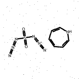 C1=CC=CNC=C1.[N-]=[N+]=NS(=O)(=O)N=[N+]=[N-]